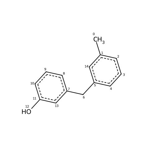 Cc1cccc(Cc2cccc(O)c2)c1